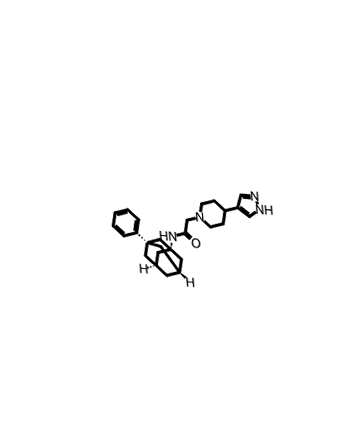 O=C(CN1CCC(c2cn[nH]c2)CC1)N[C@@]12C[C@H]3C[C@@H](C1)C[C@@](c1ccccc1)(C3)C2